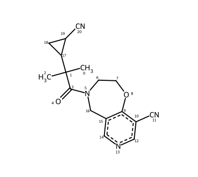 CC(C)(C(=O)N1CCOc2c(C#N)cncc2C1)C1CC1C#N